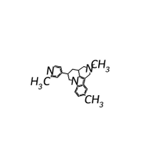 Cc1ccc2c(c1)c1c3n2CC(c2ccnc(C)c2)CC3CN(C)C1